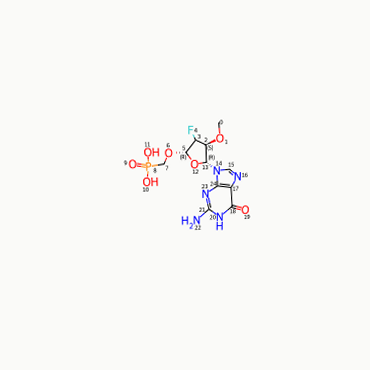 CO[C@@H]1C(F)[C@@H](OCP(=O)(O)O)O[C@H]1n1cnc2c(=O)[nH]c(N)nc21